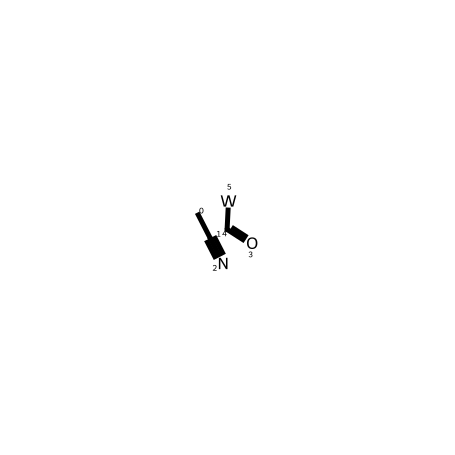 CC#N.O=[CH][W]